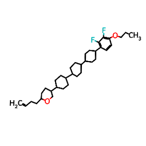 C=CCCC1CCC(C2CCC(C3CCC(C4CCC(c5ccc(OCCC)c(F)c5F)CC4)CC3)CC2)CO1